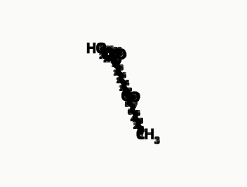 CCCCCCCCCC(=O)OCCCCCCCCOc1ccc(O)cc1C=O